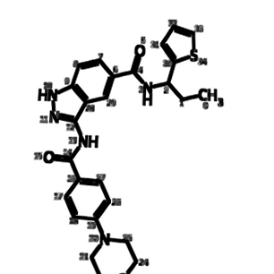 CCC(NC(=O)c1ccc2[nH]nc(NC(=O)c3ccc(N4CCOCC4)cc3)c2c1)c1cccs1